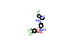 O=S(=O)(Cc1ccc(Cl)c(Cl)c1)NC1CCC(Nc2ccnc3cc(Cl)ccc23)CC1